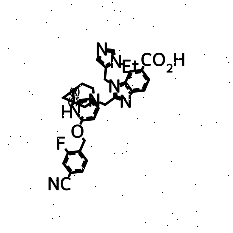 CCn1cncc1Cn1c(CN2CC[C@]3(c4cccc(OCc5ccc(C#N)cc5F)n4)C[C@@H]3C2)nc2ccc(C(=O)O)cc21